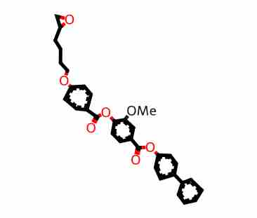 COc1cc(C(=O)Oc2ccc(-c3ccccc3)cc2)ccc1OC(=O)c1ccc(OCCCCC2CO2)cc1